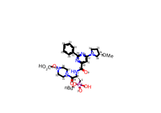 CCCCOP(=O)(O)C[C@@H](NC(=O)c1cc(N2CC[C@H](OC)C2)nc(-c2ccccc2)n1)C(=O)N1CCN(OC(=O)O)CC1